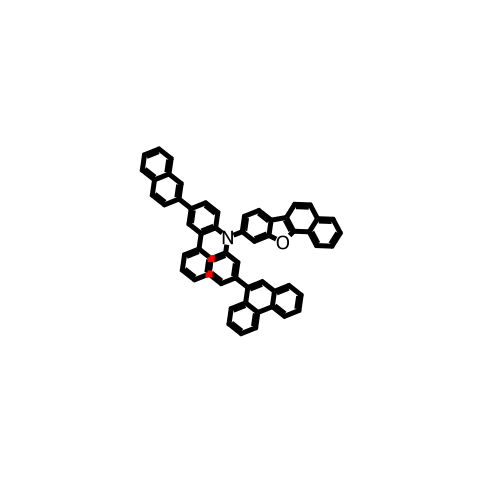 c1ccc(-c2cc(-c3ccc4ccccc4c3)ccc2N(c2cccc(-c3cc4ccccc4c4ccccc34)c2)c2ccc3c(c2)oc2c4ccccc4ccc32)cc1